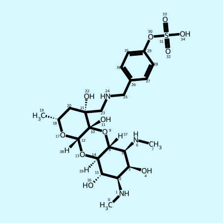 CN[C@@H]1[C@H](O)[C@H](NC)[C@H]2O[C@]3(O)[C@H](O[C@@H]2[C@H]1O)O[C@H](C)C[C@@]3(O)CNCc1ccc(OS(=O)(=O)O)cc1